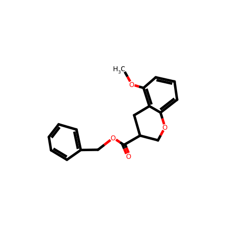 COc1cccc2c1CC(C(=O)OCc1ccccc1)CO2